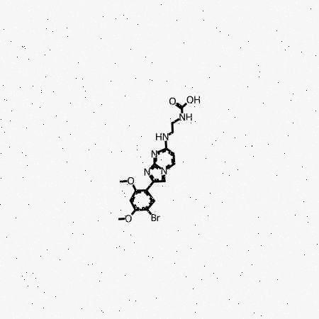 COc1cc(OC)c(-c2cn3ccc(NCCNC(=O)O)nc3n2)cc1Br